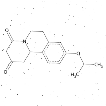 CC(C)Oc1ccc2c(c1)CCN1C(=O)CC(=O)CC21